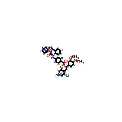 COc1ccc(C(Cc2c(Cl)c[n+]([O-])cc2Cl)OC(=O)c2ccc(CN(C(=O)O[C@H]3CN4CCC3CC4)c3ccccc3C#N)cc2)cc1OC